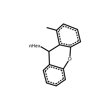 CCCCCCC1c2ccccc2Oc2cccc(C)c21